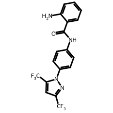 Nc1ccccc1C(=O)Nc1ccc(-n2nc(C(F)(F)F)cc2C(F)(F)F)cc1